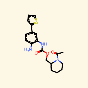 CC(=O)N1CCCCC1COC(=O)Nc1cc(-c2cccs2)ccc1N